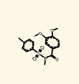 COc1ccc(C(=O)N(C)S(=O)(=O)c2ccc(C)cc2)cc1OC